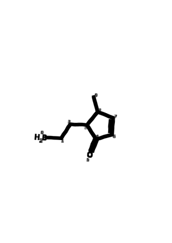 BCCC1C(=O)C=CC1C